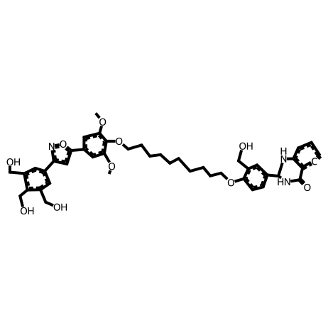 COc1cc(-c2cc(-c3cc(CO)c(CO)c(CO)c3)no2)cc(OC)c1OCCCCCCCCCCOc1ccc(C2NC(=O)c3ccccc3N2)cc1CO